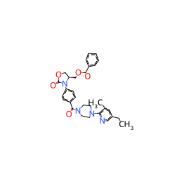 CCc1cnc(N2CCN(C(=O)c3ccc(N4C(=O)OC[C@H]4COC(=O)c4ccccc4)cc3)CC2)c(C)c1